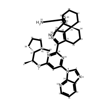 C[C@H](Oc1cc(-n2cnc3cccnc32)nc(-c2noc3c2CCC[C@@]32CCCc3sc(N)c(C#N)c32)n1)[C@@H]1CCCN1C